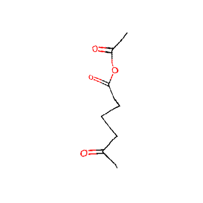 CC(=O)CCCC(=O)OC(C)=O